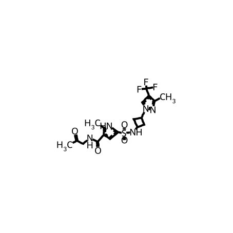 CC(=O)CNC(=O)c1cc(S(=O)(=O)NC2CC(n3cc(C(F)(F)F)c(C)n3)C2)[nH]c1C